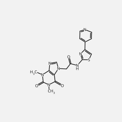 Cn1c(=O)c2c(ncn2CC(=O)Nc2nc(-c3ccncc3)cs2)n(C)c1=O